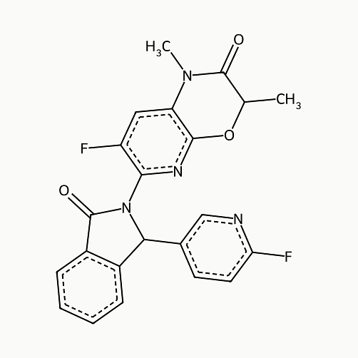 CC1Oc2nc(N3C(=O)c4ccccc4C3c3ccc(F)nc3)c(F)cc2N(C)C1=O